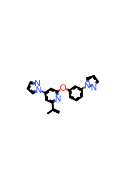 C=C(C)c1cc(-n2cccn2)cc(Oc2cccc(-n3cccn3)c2)n1